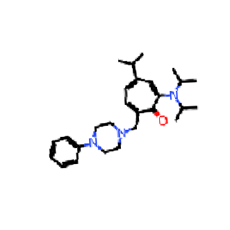 CC(C)c1ccc(CN2CCN(c3ccccc3)CC2)c(=O)c(N(C(C)C)C(C)C)c1